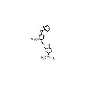 COc1cc(Nc2ccccn2)ccc1OCCC1CC(N(C)C)CCN1